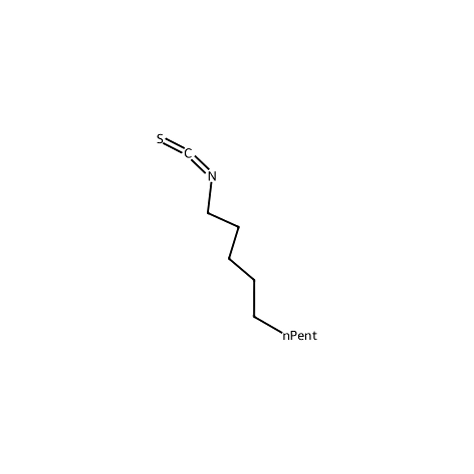 CCCCCCCCCCN=C=S